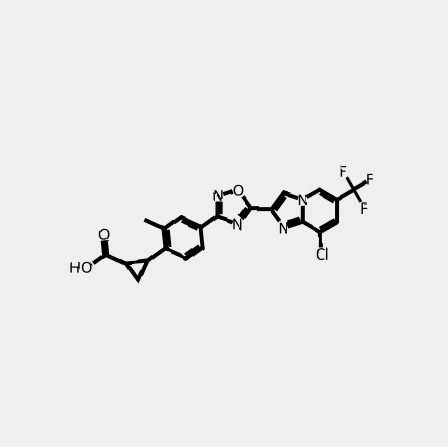 Cc1cc(-c2noc(-c3cn4cc(C(F)(F)F)cc(Cl)c4n3)n2)ccc1C1CC1C(=O)O